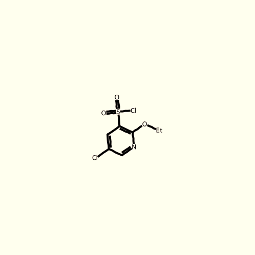 CCOc1ncc(Cl)cc1S(=O)(=O)Cl